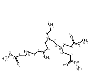 CCCN(CCN(C)CCNCCC(=O)OC)CCN(CCC(=O)OC)CCC(=O)OC